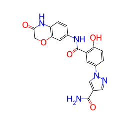 NC(=O)c1cnn(-c2ccc(O)c(C(=O)Nc3ccc4c(c3)OCC(=O)N4)c2)c1